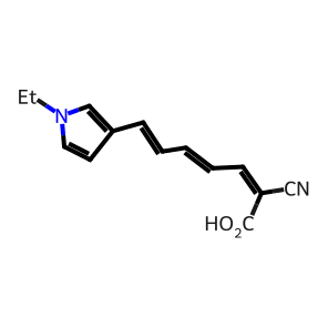 CCn1ccc(C=CC=CC=C(C#N)C(=O)O)c1